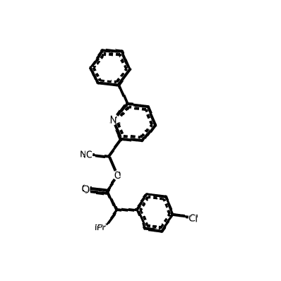 CC(C)C(C(=O)OC(C#N)c1cccc(-c2ccccc2)n1)c1ccc(Cl)cc1